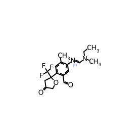 CCN(C)/C=N/c1cc(C=O)c(C2(C(F)(F)F)CC(=O)CO2)cc1C